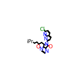 CC(C)CCC(=O)CC1c2nccnc2C(=O)N1c1ccc2ccc(Cl)nc2n1